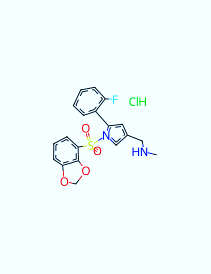 CNCc1cc(-c2ccccc2F)n(S(=O)(=O)c2cccc3c2OCO3)c1.Cl